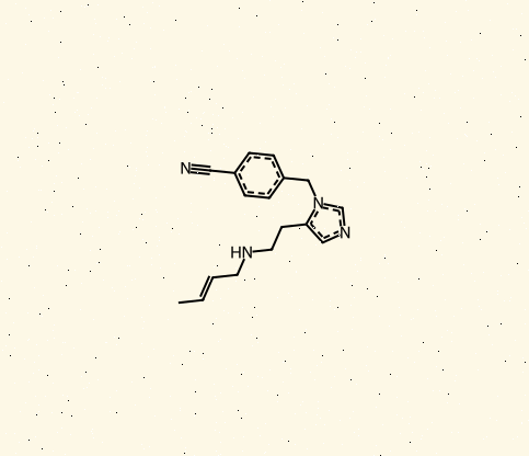 CC=CCNCCc1cncn1Cc1ccc(C#N)cc1